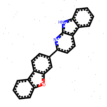 c1ccc2c(c1)[nH]c1nc(-c3ccc4c(c3)oc3ccccc34)ccc12